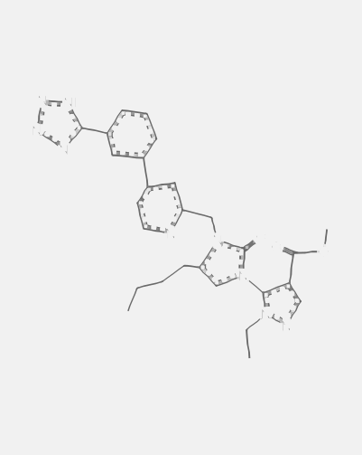 CCCCc1cn(-c2c(C(=O)OC)cnn2CC)c(=O)n1Cc1cc(-c2cccc(-c3nnn[nH]3)c2)ccn1